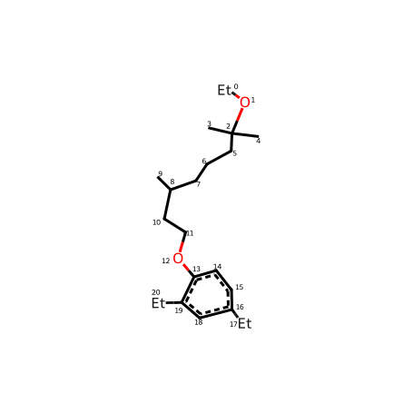 CCOC(C)(C)CCCC(C)CCOc1ccc(CC)cc1CC